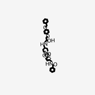 O=C(NCc1ccc(S(=O)(=O)N2CCC(CNC[C@H](O)COc3ccc(OCc4ccccc4)cc3)CC2)s1)c1ccccc1